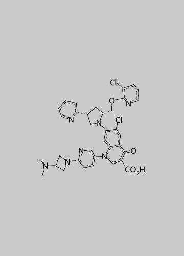 CN(C)C1CN(c2ccc(-n3cc(C(=O)O)c(=O)c4cc(Cl)c(N5C[C@H](c6ccccn6)C[C@@H]5COc5ncccc5Cl)cc43)cn2)C1